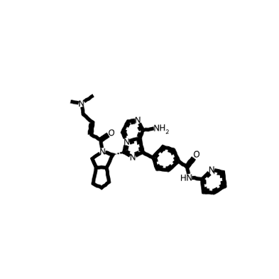 CN(C)C/C=C/C(=O)N1CC2CCCC2[C@H]1c1nc(-c2ccc(C(=O)Nc3ccccn3)cc2)c2c(N)nccn12